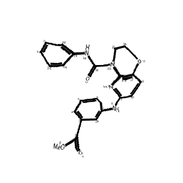 COC(=O)c1cccc(Nc2ccc3c(n2)N(C(=O)Nc2ccccc2)CCO3)c1